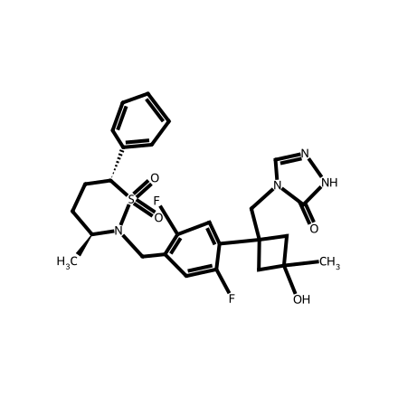 C[C@H]1CC[C@H](c2ccccc2)S(=O)(=O)N1Cc1cc(F)c(C2(Cn3cn[nH]c3=O)CC(C)(O)C2)cc1F